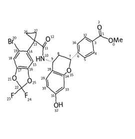 COC(=O)c1ccc([C@H]2C[C@@H](NC(=O)C3(c4cc5c(cc4Br)OC(F)(F)O5)CC3)c3ccc(O)cc3O2)cc1